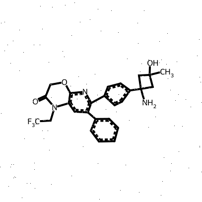 CC1(O)CC(N)(c2ccc(-c3nc4c(cc3-c3ccccc3)N(CC(F)(F)F)C(=O)CO4)cc2)C1